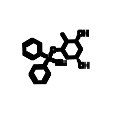 CC1C(O[Si](c2ccccc2)(c2ccccc2)C(C)(C)C)C[C@@H](O)C[C@@H]1O